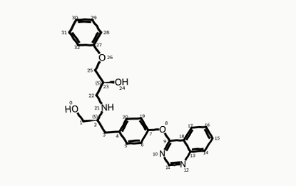 OC[C@H](Cc1ccc(Oc2ncnc3ccccc23)cc1)NC[C@H](O)COc1ccccc1